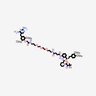 CCC(C)(C)C(=O)C(=O)N1CCCCC1C(=O)O[C@H](CCc1ccc(OC)c(OC)c1)c1cccc(NC(=O)CCC(=O)NCCCOCCOCCOCCCNC(=O)COc2c(OC)cc(Cc3cnc(N)nc3N)cc2OC)c1